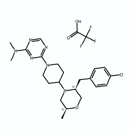 C[C@H]1CN(C2CCN(c3ncnc(N(C)C)n3)CC2)[C@@H](Cc2ccc(Cl)cc2)CO1.O=C(O)C(F)(F)F